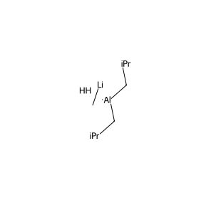 CC(C)[CH2][Al][CH2]C(C)C.[HH].[Li][CH3]